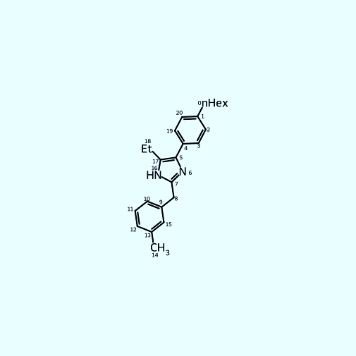 CCCCCCc1ccc(-c2nc(Cc3cccc(C)c3)[nH]c2CC)cc1